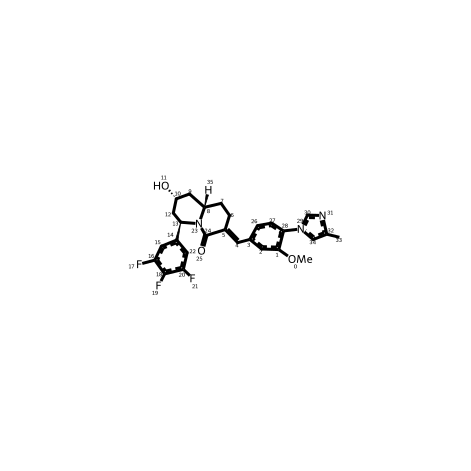 COc1cc(/C=C2\CC[C@H]3C[C@@H](O)C[C@H](c4cc(F)c(F)c(F)c4)N3C2=O)ccc1-n1cnc(C)c1